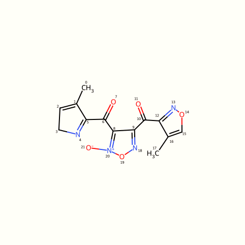 CC1=CCN=C1C(=O)c1c(C(=O)c2nocc2C)no[n+]1[O-]